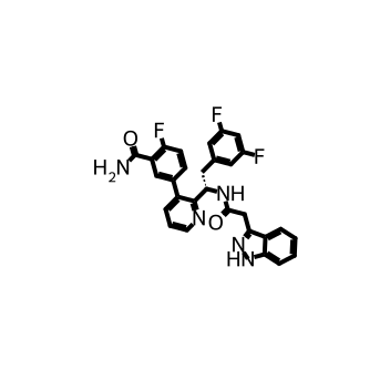 NC(=O)c1cc(-c2cccnc2[C@H](Cc2cc(F)cc(F)c2)NC(=O)Cc2n[nH]c3ccccc23)ccc1F